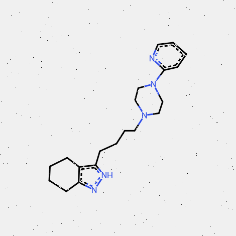 c1ccc(N2CCN(CCCCc3[nH]nc4c3CCCC4)CC2)nc1